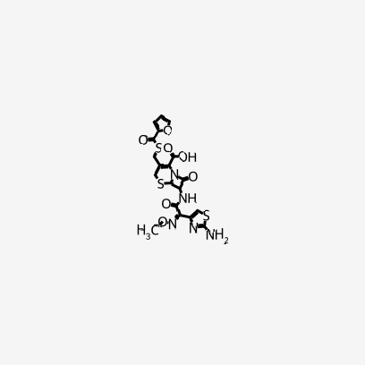 CO/N=C(\C(=O)NC1C(=O)N2C(C(=O)O)=C(CSC(=O)c3ccco3)CSC12)c1csc(N)n1